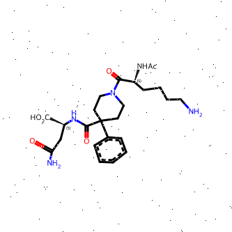 CC(=O)N[C@@H](CCCCN)C(=O)N1CCC(C(=O)N[C@@H](CC(N)=O)C(=O)O)(c2ccccc2)CC1